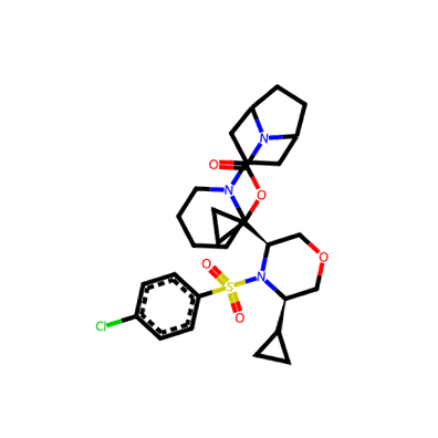 O=C(OC1([C@H]2COC[C@@H](C3CC3)N2S(=O)(=O)c2ccc(Cl)cc2)CC1)N1C2CCC1CC(N1CCCCC1)C2